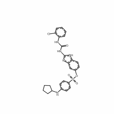 O=C(Nc1nc2cc(OS(=O)(=O)c3ccc(NC4CCCC4)cc3)ccc2[nH]1)Nc1ccccc1Cl